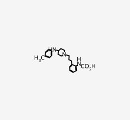 Cc1ccc(NC2CCN(CCCc3ccccc3NC(=O)O)CC2)cc1